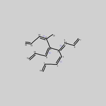 C=C\C=C/C(=N\C=C)C(=C/C=C)/C(C)=C\C=C